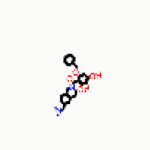 CN(C)Cc1ccc2c(c1)CCN(C(=O)c1c(O)cc(O)cc1OCc1ccccc1)C2